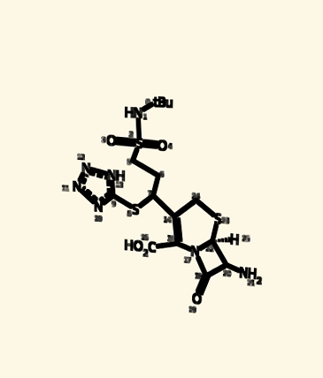 CC(C)(C)NS(=O)(=O)CCC(Sc1nnn[nH]1)C1=C(C(=O)O)N2C(=O)C(N)[C@@H]2SC1